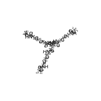 CC(C)(C)OC(=O)NCCOCCOCCNC(=O)CCC(CCC(=O)NCCOCCOCCNC(=O)OC(C)(C)C)(CCC(=O)NCCOCCOCCNC(=O)OC(C)(C)C)[N+](=O)[O-]